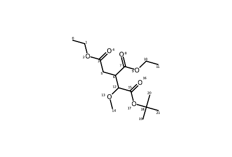 CCOC(=O)CC(C(=O)OCC)C(OC)C(=O)OC(C)(C)C